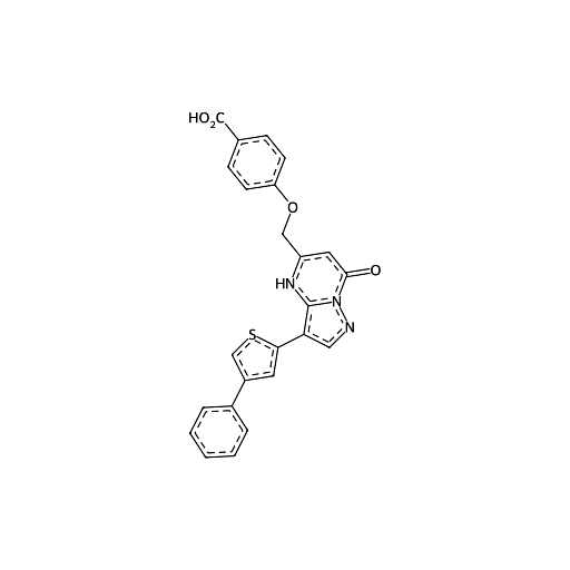 O=C(O)c1ccc(OCc2cc(=O)n3ncc(-c4cc(-c5ccccc5)cs4)c3[nH]2)cc1